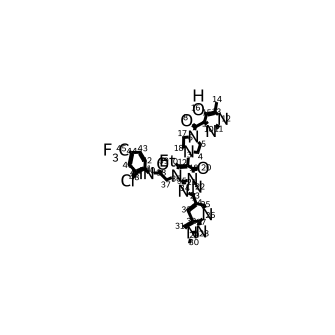 CCc1c(N2CCN(C(=O)c3ncnc(C)c3O)CC2)c(=O)n2nc(-c3cnc4nn(C)cc4c3)nc2n1CC(=O)Nc1ccc(C(F)(F)F)cc1Cl